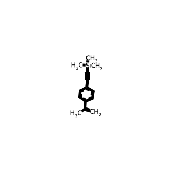 C=C(C)c1ccc(C#C[Si](C)(C)C)cc1